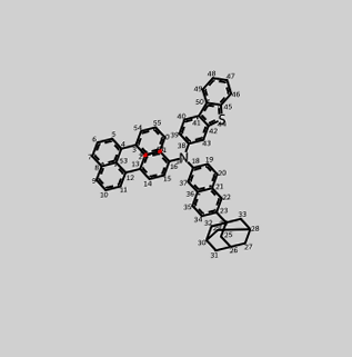 c1ccc(-c2cccc3cccc(-c4ccc(N(c5ccc6cc(C78CC9CC(CC(C9)C7)C8)ccc6c5)c5ccc6c(c5)sc5ccccc56)cc4)c23)cc1